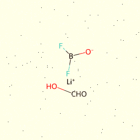 O=CO.[Li+].[O-]B(F)F